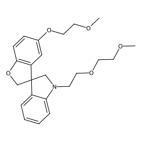 COCCOCCN1CC2(COc3ccc(OCCOC)cc32)c2ccccc21